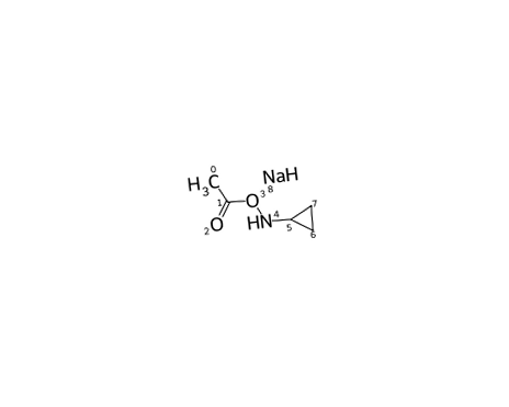 CC(=O)ONC1CC1.[NaH]